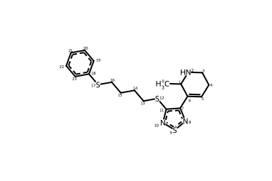 CC1NCCC=C1c1nsnc1SCCCCSc1ccccc1